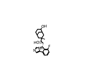 C[C@@]1([C@@H](O)C[C@@H]2c3c(F)cccc3-c3cncn32)CC2CCC(O)C(C2)C1